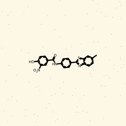 Cc1ccc2nc(-c3ccc(NC(=O)c4ccc(O)c([N+](=O)[O-])c4)cc3)sc2c1